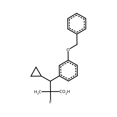 CC(F)(C(=O)O)C(c1cccc(OCc2ccccc2)c1)C1CC1